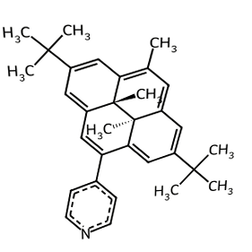 CC1=C2C=C(C(C)(C)C)C=C3C=C(c4ccncc4)C4=CC(C(C)(C)C)=CC(=C1)[C@]4(C)[C@]32C